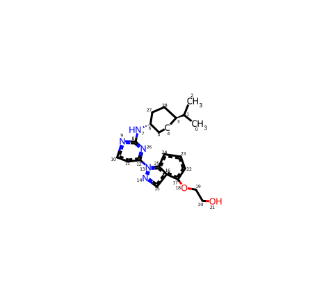 CC(C)[C@H]1CC[C@H](Nc2nccc(-n3ncc4c(OCCO)cccc43)n2)CC1